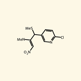 CNC(=C[N+](=O)[O-])C(SC)c1ccc(Cl)nc1